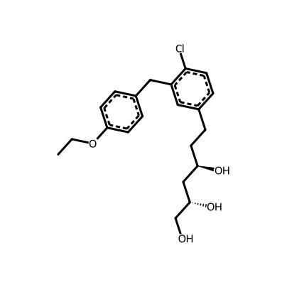 CCOc1ccc(Cc2cc(CC[C@@H](O)C[C@H](O)CO)ccc2Cl)cc1